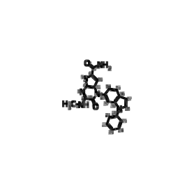 CNc1nc2sc(C(N)=O)cc2n(-c2ccc3ccn(-c4ccccc4)c3c2)c1=O